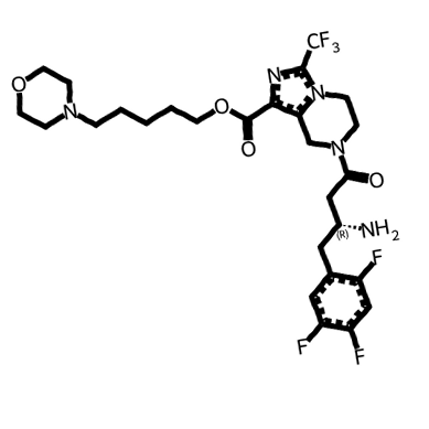 N[C@@H](CC(=O)N1CCn2c(C(F)(F)F)nc(C(=O)OCCCCCN3CCOCC3)c2C1)Cc1cc(F)c(F)cc1F